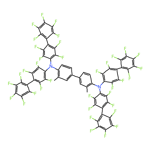 Cc1cc(-c2ccc(N(c3c(F)c(F)c(-c4c(F)c(F)c(F)c(F)c4F)c(F)c3F)c3c(F)c(F)c(-c4c(F)c(F)c(F)c(F)c4F)c(F)c3F)c(C)c2)ccc1N(c1c(F)c(F)c(-c2c(F)c(F)c(F)c(F)c2F)c(F)c1F)c1c(F)c(F)c(-c2c(F)c(F)c(F)c(F)c2F)c(F)c1F